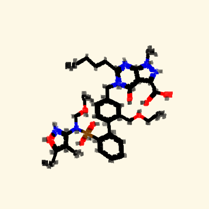 CCCCc1nc2c(c(C(=O)O)nn2C)c(=O)n1Cc1ccc(-c2ccccc2S(=O)(=O)N(COC)c2noc(C)c2C)c(COCC)c1